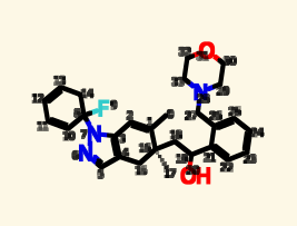 CC1=Cc2c(cnn2C2(F)C=CC=CC2)C[C@]1(C)CC(O)c1ccccc1CN1CCOCC1